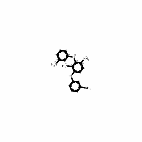 Nc1cccc(Oc2ccc(N)c(Oc3cccc(N)c3)c2N)c1